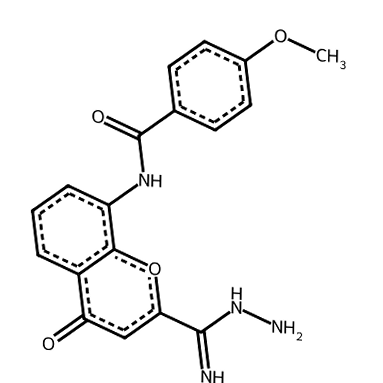 COc1ccc(C(=O)Nc2cccc3c(=O)cc(C(=N)NN)oc23)cc1